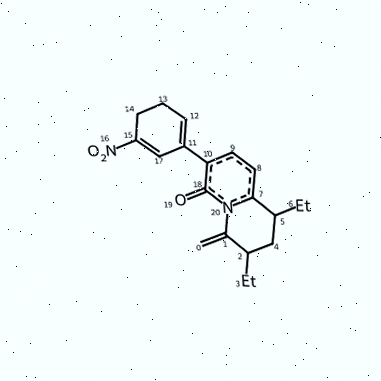 C=C1C(CC)CC(CC)c2ccc(C3=CCCC([N+](=O)[O-])=C3)c(=O)n21